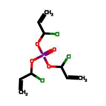 C=CC(Cl)OP(=O)(OC(Cl)C=C)OC(Cl)C=C